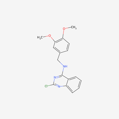 COc1ccc(CNc2nc(Cl)nc3ccccc23)cc1OC